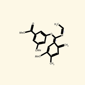 C=c1cc(C)c(OC)c/c1=C(/N=C\C)Oc1cc(OC)cc(C(=O)OC)c1